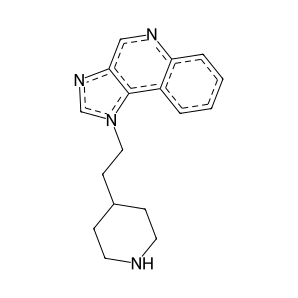 c1ccc2c(c1)ncc1ncn(CCC3CCNCC3)c12